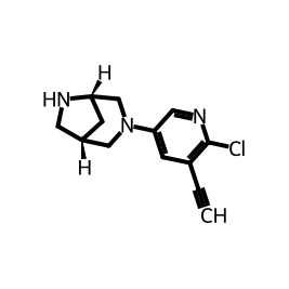 C#Cc1cc(N2C[C@@H]3CN[C@@H](C3)C2)cnc1Cl